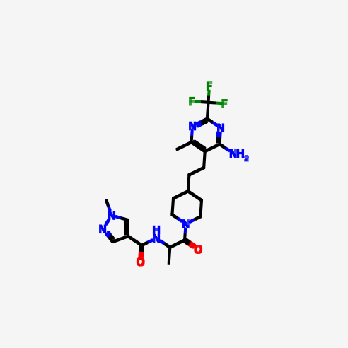 Cc1nc(C(F)(F)F)nc(N)c1CCC1CCN(C(=O)C(C)NC(=O)c2cnn(C)c2)CC1